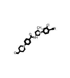 C[C@H]1C[C@@H](NC(=O)c2ccc(N3CCC(C=O)CC3)cc2)CN1c1ccc(C#N)c(Cl)c1